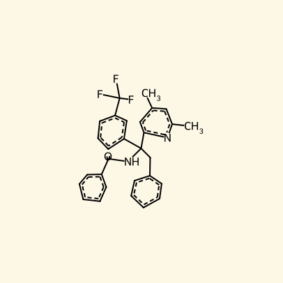 Cc1cc(C)nc(C(Cc2ccccc2)(NC(=O)c2ccccc2)c2cccc(C(F)(F)F)c2)c1